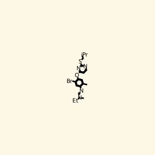 CCN(C)C=Nc1cc(Br)c(Oc2ccnc(SCC(C)C)n2)cc1C